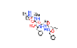 CCC(CC)NC(=O)[C@@H](NC(=O)C[C@H](O)[C@H](Cc1ccccc1)NC(=O)[C@@H](NC(=O)[C@H](CC(C)C)NC(=O)Cc1ccccc1)C(C)C)[C@@H](C)CC